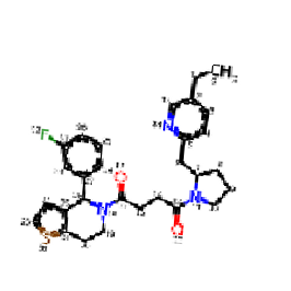 CCc1ccc(CC2CCCN2C(=O)CCC(=O)N2CCc3sccc3C2c2cccc(F)c2)nc1